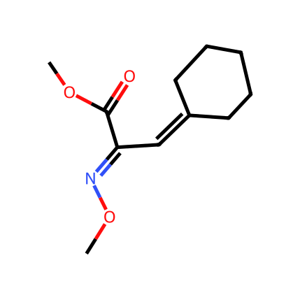 CO/N=C(\C=C1CCCCC1)C(=O)OC